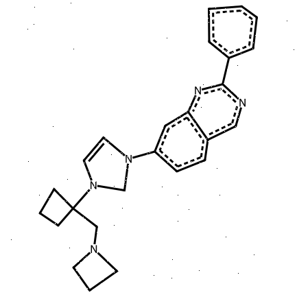 C1=CN(C2(CN3CCC3)CCC2)CN1c1ccc2cnc(-c3ccccc3)nc2c1